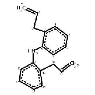 C=CCc1ccccc1Nc1ccccc1CC=C